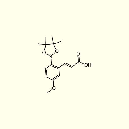 COc1ccc(B2OC(C)(C)C(C)(C)O2)c(/C=C/C(=O)O)c1